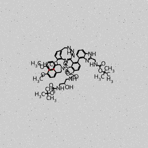 COc1ccc(CN(Cc2ccc(OC)cc2)S(=O)(=O)c2c(S(=O)(=O)NC[C@H](O)CNC(=O)OC(C)(C)C)ccc(-c3cccc4[nH]c(CNC(=O)OC(C)(C)C)nc34)c2C2=N/c3cc(ccc3OC)CN/N=N\2)cc1